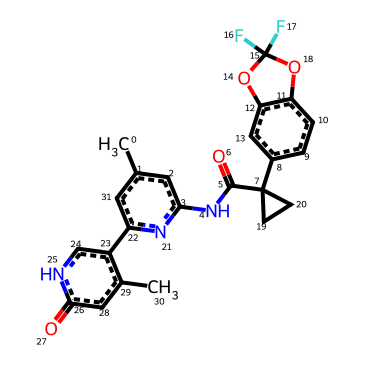 Cc1cc(NC(=O)C2(c3ccc4c(c3)OC(F)(F)O4)CC2)nc(-c2c[nH]c(=O)cc2C)c1